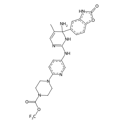 CC1=CN=C(Nc2ccc(N3CCN(C(=O)OC(F)(F)F)CC3)nc2)NC1(N)c1ccc2oc(=O)[nH]c2c1